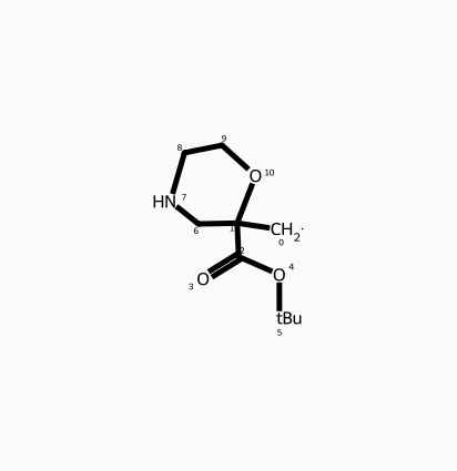 [CH2]C1(C(=O)OC(C)(C)C)CNCCO1